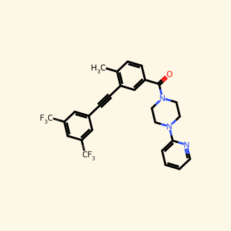 Cc1ccc(C(=O)N2CCN(c3ccccn3)CC2)cc1C#Cc1cc(C(F)(F)F)cc(C(F)(F)F)c1